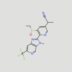 CC[S+]([O-])c1cc(C(C)C#N)cnc1-c1nc2cc(C(F)(F)F)ncc2n1C